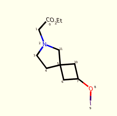 CCOC(=O)CN1CCC2(CC(OI)C2)C1